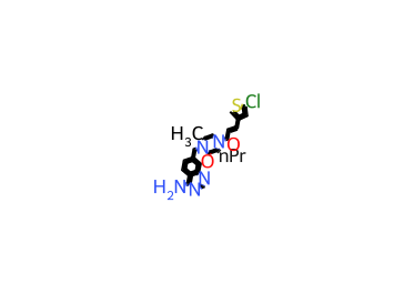 CCCC1C(=O)N(Cc2ccc3c(N)ncnc3c2)C(C)CN1C(=O)C=Cc1csc(Cl)c1